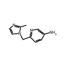 Cc1nccn1Cc1ccc(N)cn1